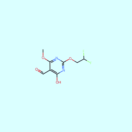 COc1nc(OCC(F)F)nc(O)c1C=O